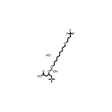 C[N+](C)(C)CC(CC(=O)O)O[P@@](O)OCCCCCCCCCOCCCC(F)(F)F.[OH-]